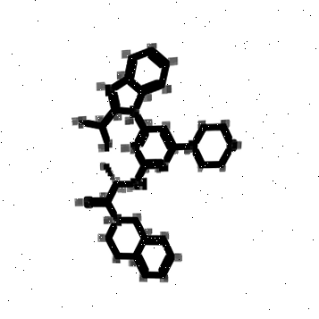 C[C@H](Nc1nc(N2CCOCC2)cc(-n2c(C(F)F)nc3ccccc32)n1)C(=O)N1CCc2ccccc2C1